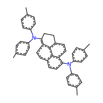 Cc1ccc(N(C2=c3ccc4ccc(N(c5ccc(C)cc5)c5ccc(C)cc5)c5ccc(c3c45)CC2)c2ccc(C)cc2)cc1